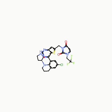 O=c1ccn(CC(F)(F)F)c(=O)n1Cc1cc2ncnc(-c3cc(Cl)cc4c3N([C@H]3CCNC3)CCC4)c2s1